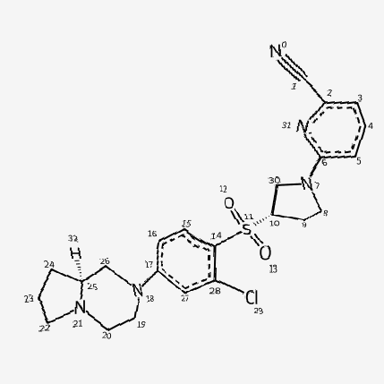 N#Cc1cccc(N2CC[C@H](S(=O)(=O)c3ccc(N4CCN5CCC[C@H]5C4)cc3Cl)C2)n1